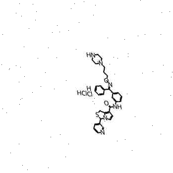 Cl.Cl.O=C(Nc1cccc(/C(=N/OCCCN2CCNCC2)c2ccccc2)c1)c1ccn2c1CSC2c1cccnc1